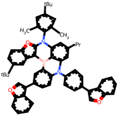 Cc1cc(C(C)(C)C)cc(C)c1N1c2cc(C(C)C)cc3c2B(c2cc(-c4coc5ccccc45)ccc2N3c2ccc(-c3coc4ccccc34)cc2)c2c1oc1ccc(C(C)(C)C)cc21